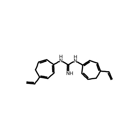 C=CC1=CC=C(NC(=N)NC2=CC=C(C=C)CC=C2)C=CC1